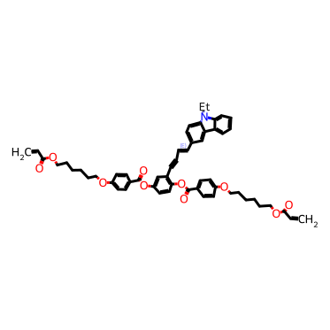 C=CC(=O)OCCCCCCOc1ccc(C(=O)Oc2ccc(OC(=O)c3ccc(OCCCCCCOC(=O)C=C)cc3)c(C#C/C=C/c3ccc4c(c3)c3ccccc3n4CC)c2)cc1